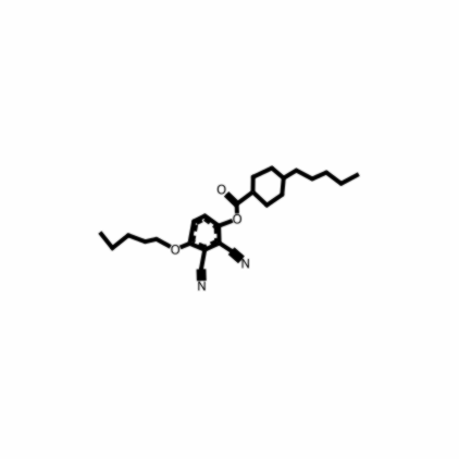 CCCCCOc1ccc(OC(=O)C2CCC(CCCCC)CC2)c(C#N)c1C#N